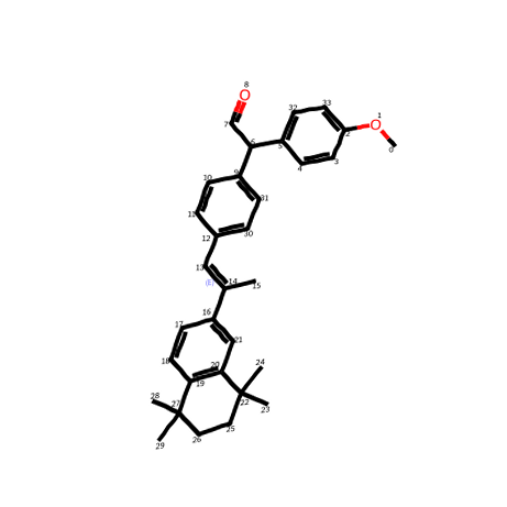 COc1ccc(C(C=O)c2ccc(/C=C(\C)c3ccc4c(c3)C(C)(C)CCC4(C)C)cc2)cc1